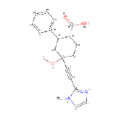 COC1(C#Cc2nccn2C)CC[C@@H](C(=O)O)C(c2ccccc2)C1